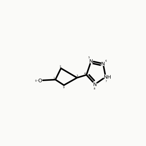 [O]C1CC(c2nn[nH]n2)C1